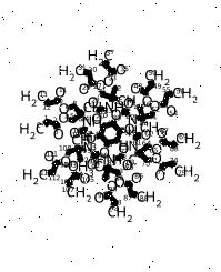 C=CC(=O)OCC(C)(COC(=O)C=C)NC(=O)OC1C(OC(=O)NC(C)(COC(=O)C=C)COC(=O)C=C)C(OC(=O)NC(C)(COC(=O)C=C)COC(=O)C=C)C(OC(=O)NC(C)(COC(=O)C=C)COC(=O)C=C)C(OC(=O)NC(C)(COC(=O)C=C)COC(=O)C=C)C1OC(=O)NC(C)(COC(=O)C=C)COC(=O)C=C